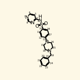 O=S(=O)(Nc1ccncn1)c1ccc(N2CCN(Cc3ccccc3)CC2)cc1